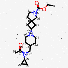 CCOC(=O)N1CCC2(CC(N3CCC(CN(C(C)=O)C4CC4)CC3)C2)C1